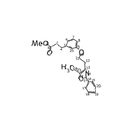 COC(=O)CCc1cccc(OCCc2nc(-c3ccccc3)oc2C)c1